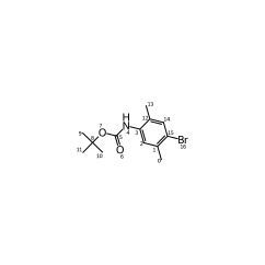 Cc1cc(NC(=O)OC(C)(C)C)c(C)cc1Br